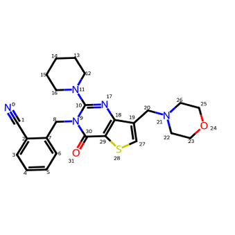 N#Cc1ccccc1Cn1c(N2CCCCC2)nc2c(CN3CCOCC3)csc2c1=O